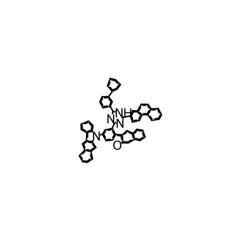 c1ccc(-c2cccc(C3N=C(c4cc(-n5c6ccccc6c6cc7ccccc7cc65)cc5oc6cc7ccccc7cc6c45)N=C(c4ccc5c(ccc6ccccc65)c4)N3)c2)cc1